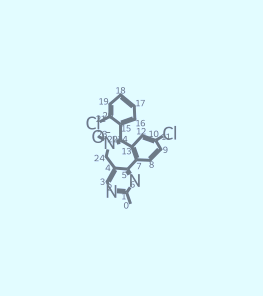 Cc1ncc2c(n1)-c1ccc(Cl)cc1C(c1ccccc1Cl)=[N+]([O-])C2